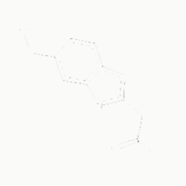 COc1ccc2sc(CC(=O)O)nc2c1